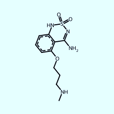 CNCCCOc1cccc2c1C(N)=NS(=O)(=O)N2